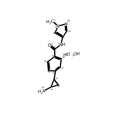 Cl.Cl.Cn1cc(NC(=O)c2ccc(C3CC3N)cc2)cn1